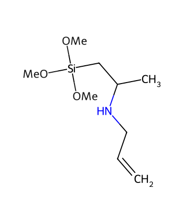 C=CCNC(C)C[Si](OC)(OC)OC